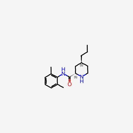 CCC[C@H]1CCN[C@H](C(=O)Nc2c(C)cccc2C)C1